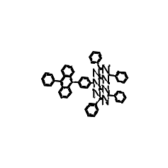 c1ccc(-c2nc(-c3ccccc3)nc(N(c3ccc(-c4c5ccccc5c(-c5ccccc5)c5ccccc45)cc3)c3nc(-c4ccccc4)nc(-c4ccccc4)n3)n2)cc1